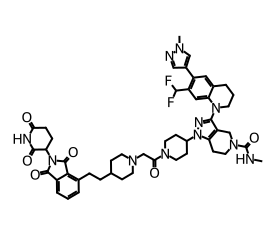 CNC(=O)N1CCc2c(c(N3CCCc4cc(-c5cnn(C)c5)c(C(F)F)cc43)nn2C2CCN(C(=O)CN3CCC(CCc4cccc5c4C(=O)N(C4CCC(=O)NC4=O)C5=O)CC3)CC2)C1